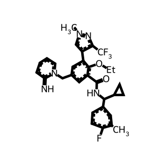 CCOc1c(C(=O)NC(c2ccc(F)c(C)c2)C2CC2)cc(Cn2ccccc2=N)cc1-c1cn(C)nc1C(F)(F)F